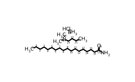 CCCCCCCCCCCCCCCCCC(N)=O.CCCCN(C)C.Cl.N